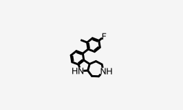 Cc1cc(F)ccc1-c1cccc2c1C1CCNCCC1N2